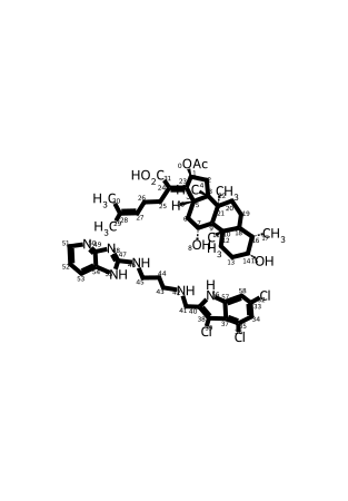 CC(=O)O[C@H]1C[C@@]2(C)[C@H](C[C@@H](O)C3[C@@]4(C)CC[C@@H](O)[C@@H](C)C4CC[C@@]32C)C1=C(CCC=C(C)C)C(=O)O.Clc1cc(Cl)c2c(Cl)c(CNCCCNc3nc4ncccc4[nH]3)[nH]c2c1